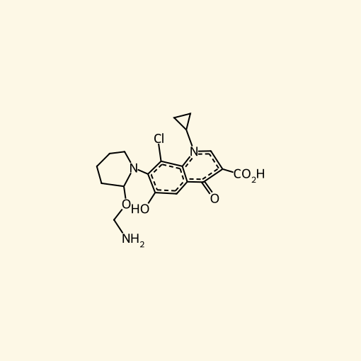 NCOC1CCCCN1c1c(O)cc2c(=O)c(C(=O)O)cn(C3CC3)c2c1Cl